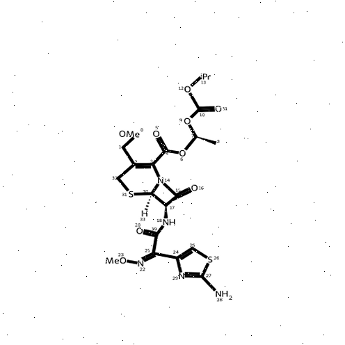 COCC1=C(C(=O)O[C@H](C)OC(=O)OC(C)C)N2C(=O)[C@@H](NC(=O)/C(=N\OC)c3csc(N)n3)[C@H]2SC1